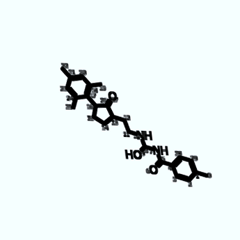 Cc1ccc(C(=O)NC(O)NCCC2CCC(c3c(C)cc(C)cc3C)C2=O)cc1